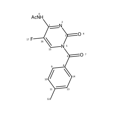 CC(=O)Nc1nc(=O)n(C(=O)c2ccc(C)cc2)cc1F